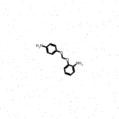 Nc1ccc(OCOc2ccccc2N)cc1